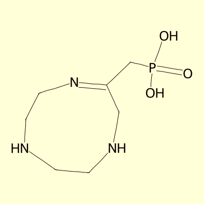 O=P(O)(O)CC1=NCCNCCNC1